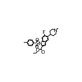 CCOC(=O)c1cc2cc(C3CCN(C)CC3)c(F)cc2n1S(=O)(=O)c1ccc(C)cc1